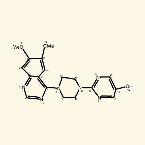 COc1cc2ncnc(N3CCN(c4ncc(O)cn4)CC3)c2cc1OC